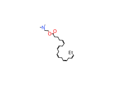 CC/C=C\C/C=C\C/C=C\C/C=C\C/C=C\CCCC(=O)OCCN(C)C